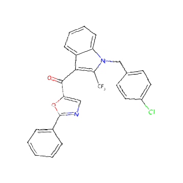 O=C(c1cnc(-c2ccccc2)o1)c1c(C(F)(F)F)n(Cc2ccc(Cl)cc2)c2ccccc12